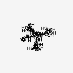 O=C(CN(CC(=O)NCCOC1OC(CO)C(O)C(O)C1O)[C@@H](CCCCNC(=O)OCc1ccccc1)C(=O)NCCOC1OC(CO)C(O)C(O)C1O)NCCOC1OC(CO)C(O)C(O)C1O